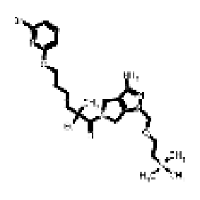 CCC(C)(CCCCOc1cccc(Br)n1)C(=O)N1Cc2c(N)nn(COCC[Si](C)(C)C)c2C1